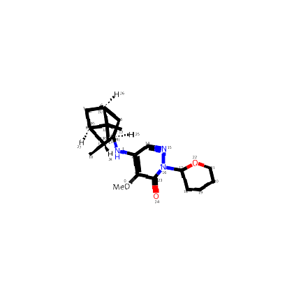 COc1c(N[C@@H]2C[C@@H]3C[C@H]([C@H]2C)C3(C)C)cnn(C2CCCCO2)c1=O